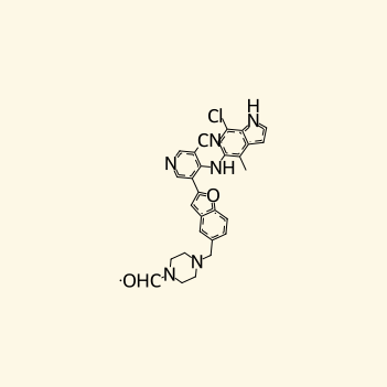 Cc1c(Nc2c(C#N)cncc2-c2cc3cc(CN4CCN([C]=O)CC4)ccc3o2)cc(Cl)c2[nH]ccc12